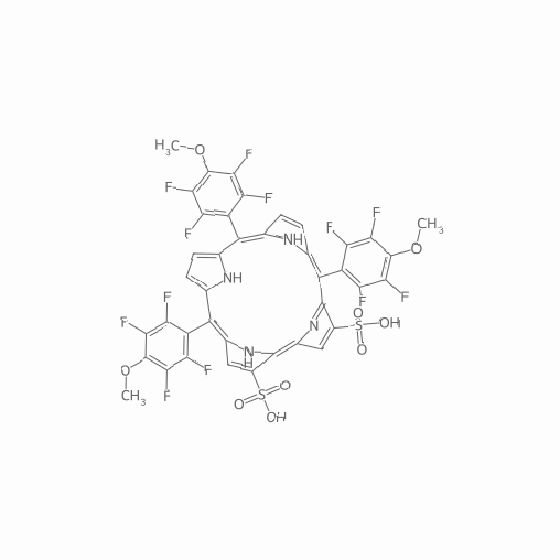 COc1c(F)c(F)c(-c2c3nc(c4[nH]c(cc4S(=O)(=O)O)c(-c4c(F)c(F)c(OC)c(F)c4F)c4ccc([nH]4)c(-c4c(F)c(F)c(OC)c(F)c4F)c4ccc2[nH]4)C=C3S(=O)(=O)O)c(F)c1F